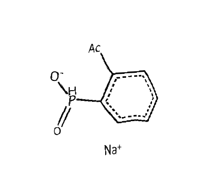 CC(=O)c1ccccc1[PH](=O)[O-].[Na+]